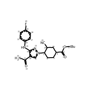 CC(C)(C)OC(=O)C1CCC(n2cc(C(N)=O)c(Nc3ccc(F)cc3)n2)C(C#N)C1